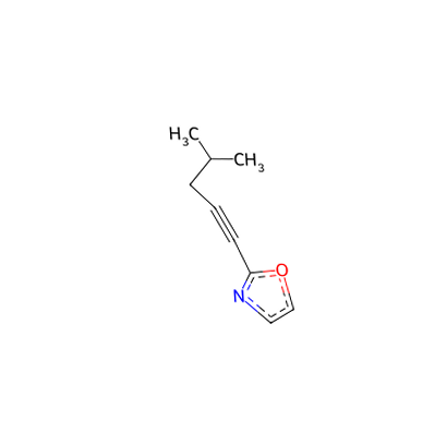 CC(C)CC#Cc1ncco1